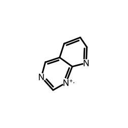 C1=NC=c2cccnc2=[N+]1